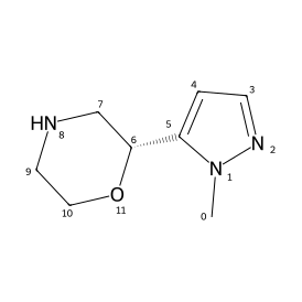 Cn1nccc1[C@H]1CNCCO1